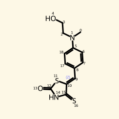 CN(CCO)c1ccc(/C=C2\SC(=O)NC2=S)cc1